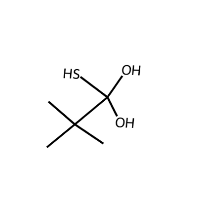 CC(C)(C)C(O)(O)S